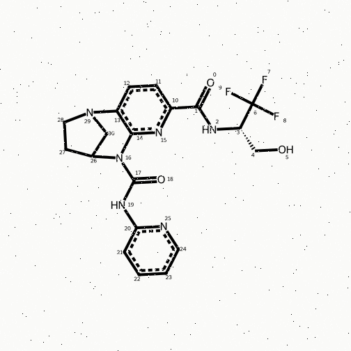 O=C(N[C@@H](CO)C(F)(F)F)c1ccc2c(n1)N(C(=O)Nc1ccccn1)C1CCN2C1